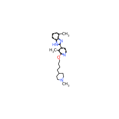 Cc1c(-c2nc3c(C)cccc3[nH]2)ccnc1OCCCCC1CCN(C)CC1